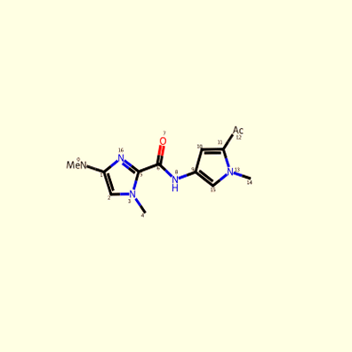 CNc1cn(C)c(C(=O)Nc2cc(C(C)=O)n(C)c2)n1